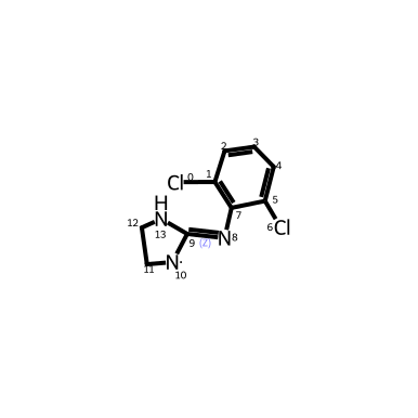 Clc1cccc(Cl)c1/N=C1/[N]CCN1